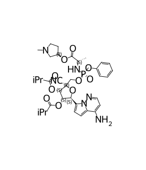 CC(C)C(=O)O[C@H]1[C@H](c2ccc3c(N)ccnn23)O[C@](C#N)(COP(=O)(N[C@@H](C)C(=O)O[C@@H]2CCN(C)C2)Oc2ccccc2)[C@H]1OC(=O)C(C)C